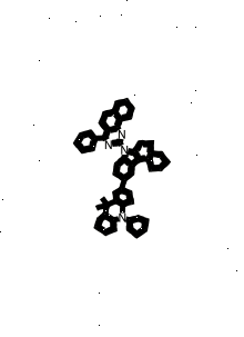 CC1(C)c2ccccc2N(c2ccccc2)c2ccc(-c3ccc4c(c3)c3c5ccccc5ccc3n4-c3nc(-c4ccccc4)c4ccc5ccccc5c4n3)cc21